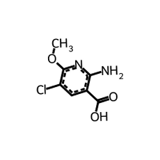 COc1nc(N)c(C(=O)O)cc1Cl